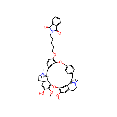 COC1=C2Oc3cc4c(cc3OC)CCN(C)[C@H]4Cc3ccc(cc3)Oc3cc(ccc3OCCCCCN3C(=O)c4ccccc4C3=O)C[C@@H]3C2C(C=C1O)CCN3C